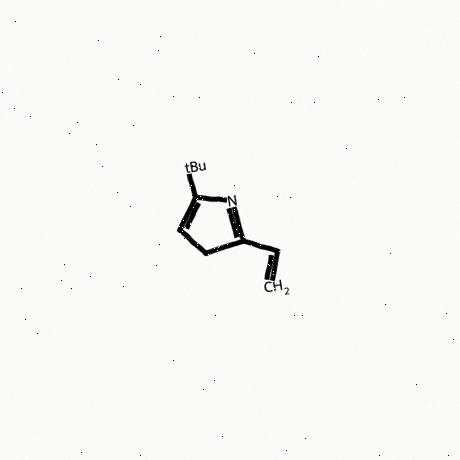 C=CC1=NC(C(C)(C)C)=CC1